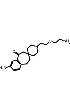 NCCOCCN1CCC2(CCc3ccc(N)cc3C(=O)C2)CC1